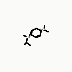 CC(I)[SiH](C)C1=CCC([SiH](C)C)C=C1